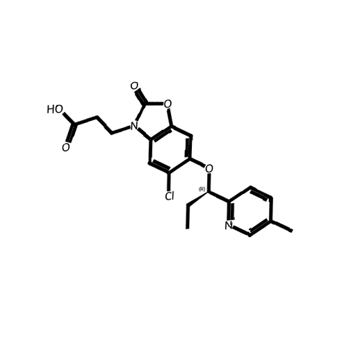 CC[C@@H](Oc1cc2oc(=O)n(CCC(=O)O)c2cc1Cl)c1ccc(C)cn1